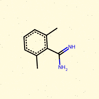 Cc1cccc(C)c1C(=N)N